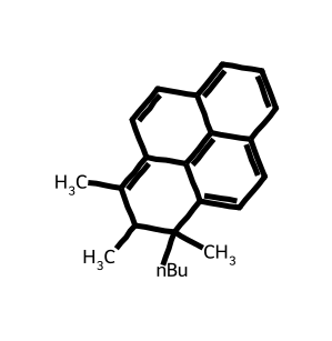 CCCCC1(C)c2ccc3cccc4ccc(c2c34)=C(C)C1C